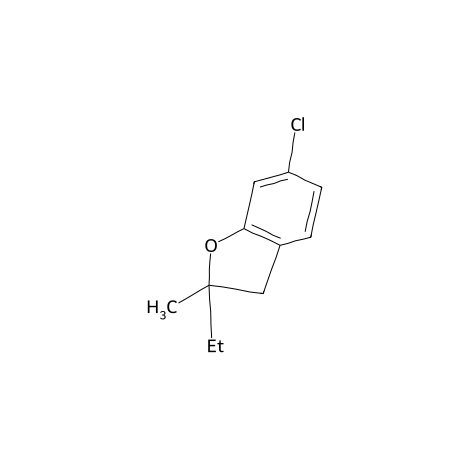 CCC1(C)Cc2ccc(Cl)cc2O1